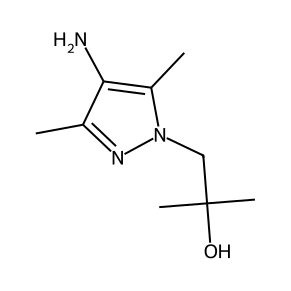 Cc1nn(CC(C)(C)O)c(C)c1N